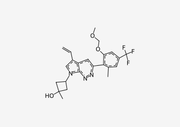 C=Cc1cn(C2CC(C)(O)C2)c2nnc(-c3c(C)cc(C(F)(F)F)cc3OCOC)cc12